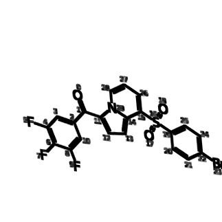 O=C(c1cc(F)c(F)c(F)c1)c1ccc2c(S(=O)(=O)c3ccc(Br)cc3)cccn12